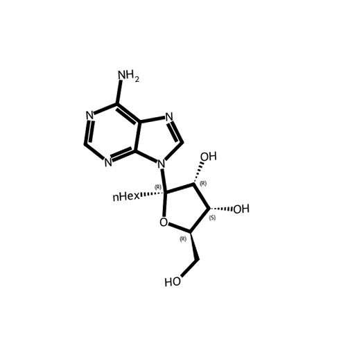 CCCCCC[C@@]1(n2cnc3c(N)ncnc32)O[C@H](CO)[C@@H](O)[C@H]1O